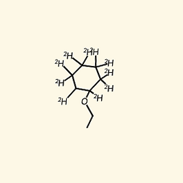 [2H]C1C([2H])([2H])C([2H])([2H])C([2H])([2H])C([2H])([2H])C1([2H])OCC